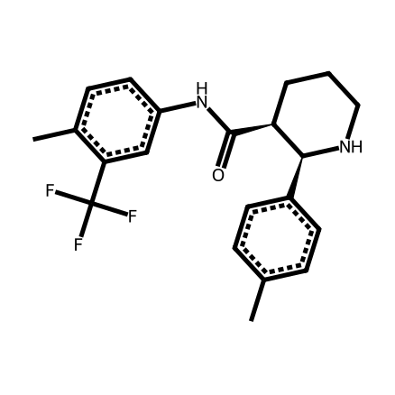 Cc1ccc([C@@H]2NCCC[C@@H]2C(=O)Nc2ccc(C)c(C(F)(F)F)c2)cc1